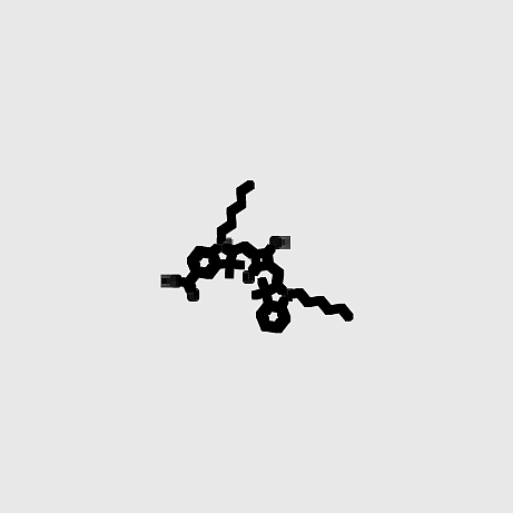 CCCCCCN1/C(=C/C2=C(O)C(=C/C3=[N+](CCCCCC)c4ccc(C(=O)O)cc4C3(C)C)/C2=O)C(C)(C)c2ccccc21